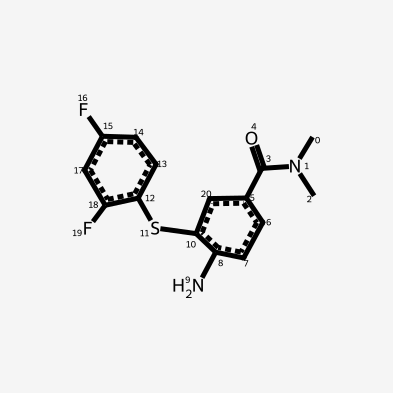 CN(C)C(=O)c1ccc(N)c(Sc2ccc(F)cc2F)c1